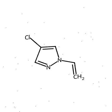 C=Cn1cc(Cl)cn1